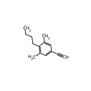 C#Cc1cc(C)c(CCCC)c(C)c1